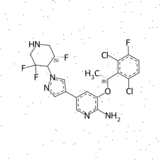 C[C@@H](Oc1cc(-c2cnn(C3[C@@H](F)CNCC3(F)F)c2)cnc1N)c1c(Cl)ccc(F)c1Cl